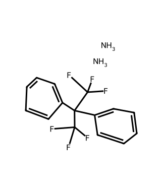 FC(F)(F)C(c1ccccc1)(c1ccccc1)C(F)(F)F.N.N